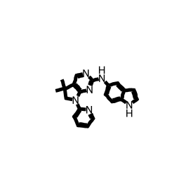 CC1(C)CN(c2ccccn2)c2nc(Nc3ccc4[nH]ccc4c3)ncc21